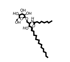 CCCCCCCCCCCCCC=CC(O)C(COC1O[C@H](CO)[C@@H](O)[C@H](O)[C@H]1O)NC(=O)CCCCCCC